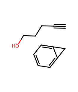 C#CCCCO.c1ccc2c(c1)C2